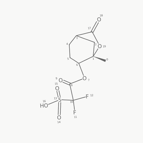 C[C@]12CC(CCC1OC(=O)C(F)(F)S(=O)(=O)O)C(=O)O2